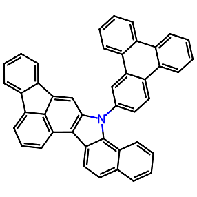 c1ccc2c(c1)-c1cccc3c1c-2cc1c3c2ccc3ccccc3c2n1-c1ccc2c3ccccc3c3ccccc3c2c1